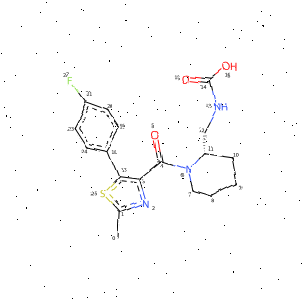 Cc1nc(C(=O)N2CCCC[C@H]2CNC(=O)O)c(-c2ccc(F)cc2)s1